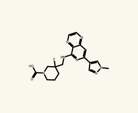 Cn1cc(-c2cc3nccnc3c(NCC3(F)CCCN(C(=O)O)C3)n2)cn1